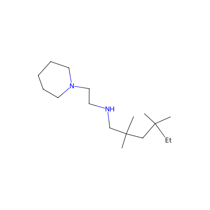 CCC(C)(C)CC(C)(C)CNCCN1CCCCC1